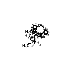 C=CC(=O)N1C[C@H](C)N(c2nc(=O)n3c4nc(c(F)cc24)-c2c(F)cccc2OCCSc2ccnc(C(C)C)c2-3)C[C@H]1C